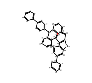 c1ccc(-c2ccc(N(c3ccccc3)c3cccc4c5cc(-c6ccccc6)cc6oc7cccc(c34)c7c65)cc2)cc1